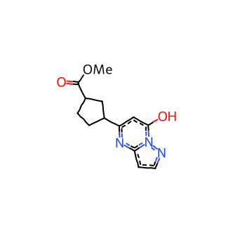 COC(=O)C1CCC(c2cc(O)n3nccc3n2)C1